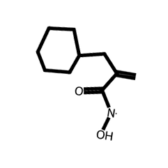 C=C(CC1CCCCC1)C(=O)[N]O